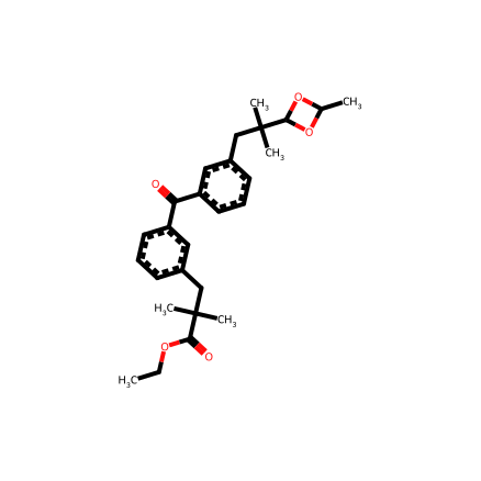 CCOC(=O)C(C)(C)Cc1cccc(C(=O)c2cccc(CC(C)(C)C3OC(C)O3)c2)c1